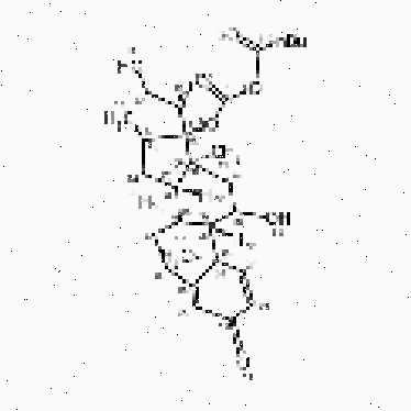 CCCCC(=O)OC(=O)O[C@]1(C(=O)CO)[C@H](C)C[C@H]2[C@@H]3CCC4=CC(=O)C=C[C@]4(C)[C@H]3C(O)C[C@@]21C